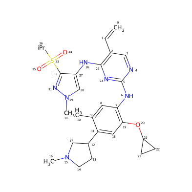 C=Cc1cnc(Nc2cc(C)c(C3CCN(C)C3)cc2OC2CC2)nc1Nc1cn(C)nc1S(=O)(=O)C(C)C